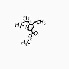 C=Cc1cc(C(=O)OCC)cnc1C=C(C)C